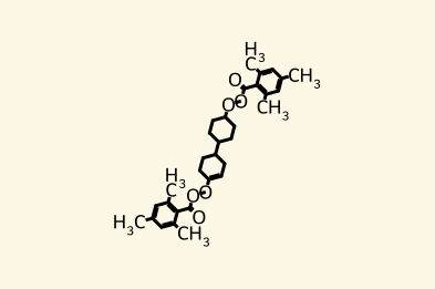 Cc1cc(C)c(C(=O)OOC2=CCC(C3CCC(OOC(=O)c4c(C)cc(C)cc4C)CC3)CC2)c(C)c1